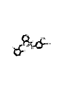 COc1ccc(NS(=O)(=O)c2cnccc2NCc2c(F)cccc2Cl)cc1OC